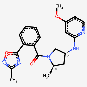 COc1ccnc(N[C@@H]2C[C@@H](C)N(C(=O)c3ccccc3-c3nc(C)no3)C2)c1